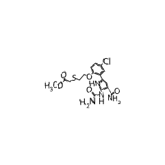 COC(=O)CSCCOc1ccc(Cl)cc1-c1cc(C(N)=O)c(NC(N)=O)[nH]1